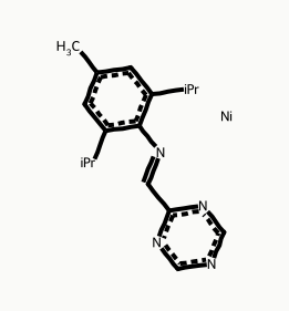 Cc1cc(C(C)C)c(N=Cc2ncncn2)c(C(C)C)c1.[Ni]